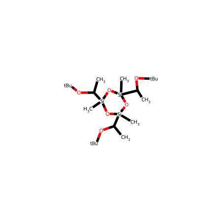 CC(OC(C)(C)C)[Si]1(C)O[Si](C)(C(C)OC(C)(C)C)O[Si](C)(C(C)OC(C)(C)C)O1